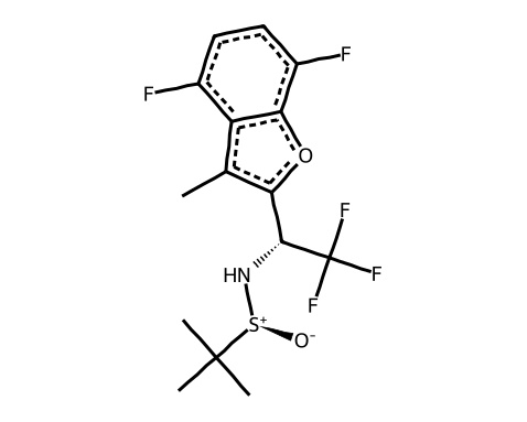 Cc1c([C@@H](N[S@@+]([O-])C(C)(C)C)C(F)(F)F)oc2c(F)ccc(F)c12